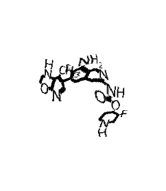 Cc1c(-c2cc3cc(NC(=O)O[C@H]4CCNC[C@H]4F)ncc3c(N)c2F)cnc2c1NCCO2